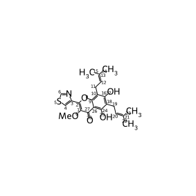 COc1c(-c2cscn2)oc2c(CC=C(C)C)c(O)c(CC=C(C)C)c(O)c2c1=O